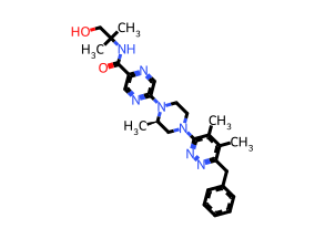 Cc1c(Cc2ccccc2)nnc(N2CCN(c3cnc(C(=O)NC(C)(C)CO)cn3)[C@H](C)C2)c1C